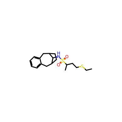 CCSCCC(C)S(=O)(=O)NC1C2CCC1Cc1ccccc1C2